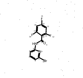 O=C(Nc1cccc(Br)n1)c1c(F)cc(F)cc1F